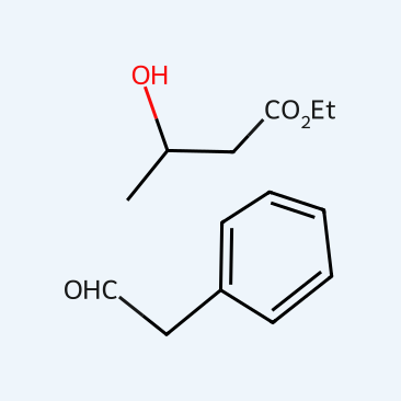 CCOC(=O)CC(C)O.O=CCc1ccccc1